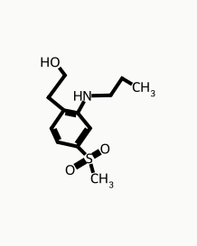 CCCNc1cc(S(C)(=O)=O)ccc1CCO